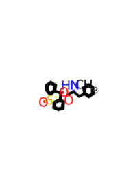 CNC(Cc1ccccc1)C(=O)OC1c2ccccc2[S+]([O-])c2ccccc21